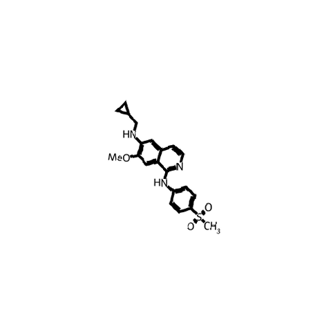 COc1cc2c(Nc3ccc(S(C)(=O)=O)cc3)nccc2cc1NCC1CC1